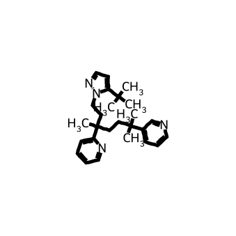 CC(C)(C)c1ccnn1CCC(C)(CCC(C)(C)c1cccnc1)c1ccccn1